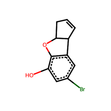 Oc1cc(Br)cc2c1OC1CC=CC21